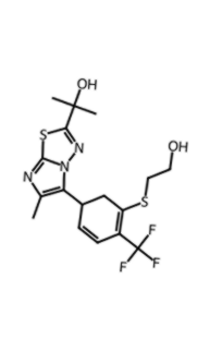 Cc1nc2sc(C(C)(C)O)nn2c1C1C=CC(C(F)(F)F)=C(SCCO)C1